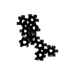 IC1(N(C2=CC=CCC2)C2C=C3C(CC2)C2=C(CCC=C2)C3(C2=CCCCC2)c2ccccc2)C=CC(C2CCC3=C(C2)C2C=CC=CC2N3C2=C=C=CCC2)=CC1